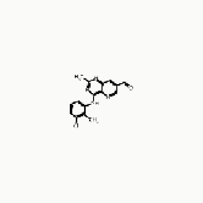 Cc1nc(Nc2cccc(Cl)c2C)c2ncc(C=O)cc2n1